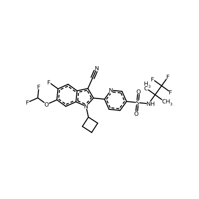 CC(C)(NS(=O)(=O)c1ccc(-c2c(C#N)c3cc(F)c(OC(F)F)cc3n2C2CCC2)nc1)C(F)(F)F